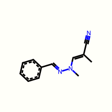 C/C(C#N)=C\N(C)/N=C/c1ccccc1